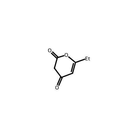 CCC1=CC(=O)CC(=O)O1